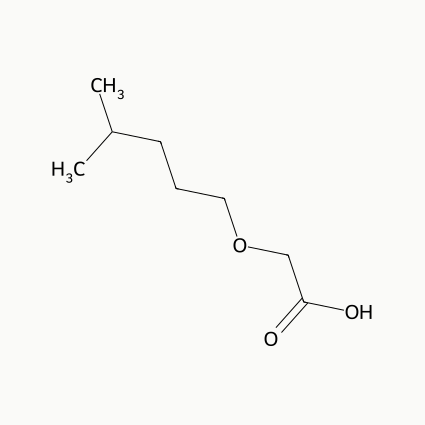 CC(C)CCCOCC(=O)O